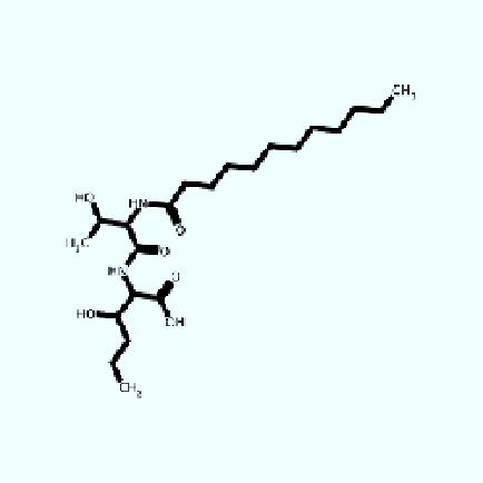 CCCCCCCCCCCC(=O)NC(C(=O)NC(C(=O)O)C(O)CCC)C(C)O